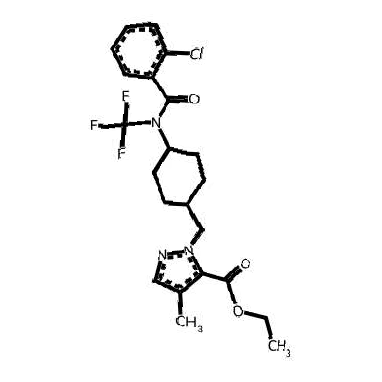 CCOC(=O)c1c(C)cnn1CC1CCC(N(C(=O)c2ccccc2Cl)C(F)(F)F)CC1